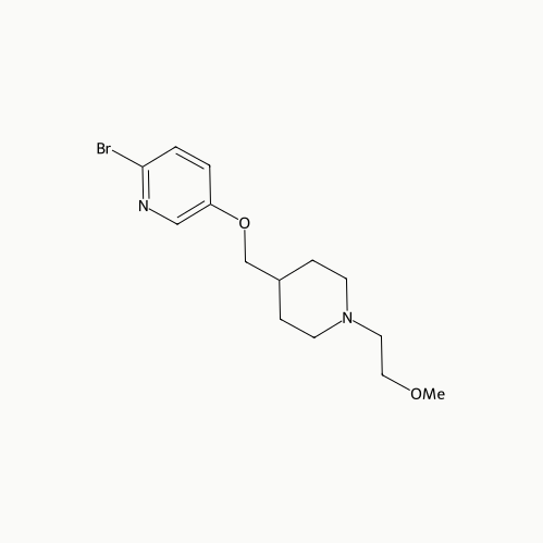 COCCN1CCC(COc2ccc(Br)nc2)CC1